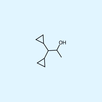 CC(O)C(C1CC1)C1CC1